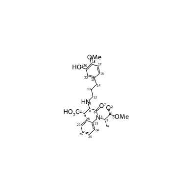 COC(=O)C(C)N(C(=O)C(CC(=O)O)NCCCc1ccc(OC)c(O)c1)c1ccccc1